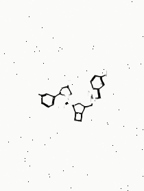 O=C([C@H]1CC(Cn2cc3cc(F)ccc3n2)C2CCC21)N1CC(F)CC1c1cccc(F)c1